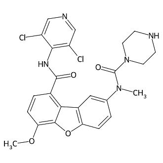 COc1ccc(C(=O)Nc2c(Cl)cncc2Cl)c2c1oc1ccc(N(C)C(=O)N3CCNCC3)cc12